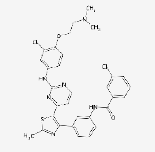 Cc1nc(-c2cccc(NC(=O)c3cccc(Cl)c3)c2)c(-c2ccnc(Nc3ccc(OCCN(C)C)c(Cl)c3)n2)s1